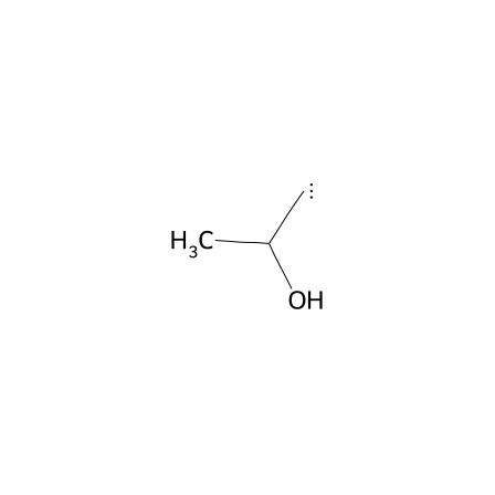 [C]C(C)O